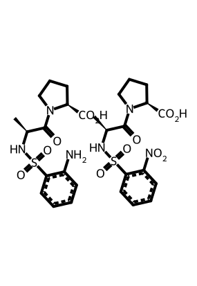 C[C@H](NS(=O)(=O)c1ccccc1N)C(=O)N1CCC[C@H]1C(=O)O.C[C@H](NS(=O)(=O)c1ccccc1[N+](=O)[O-])C(=O)N1CCC[C@H]1C(=O)O